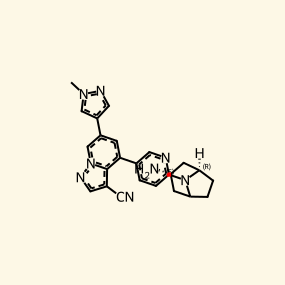 Cn1cc(-c2cc(-c3ccc(N4C5CC[C@@H]4C[C@@H](N)C5)nc3)c3c(C#N)cnn3c2)cn1